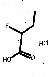 CCC(F)C(=O)O.Cl